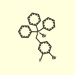 Fc1cc(CP(Br)(c2ccccc2)(c2ccccc2)c2ccccc2)ccc1Br